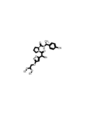 CCOC(COc1cc(C(C(=O)N2CCC[C@H]2C(=O)N[C@@H](C)c2ccc(C#N)cc2)C(C)C)on1)OCC